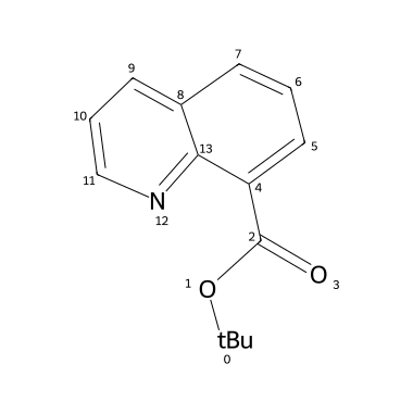 CC(C)(C)OC(=O)c1cccc2cccnc12